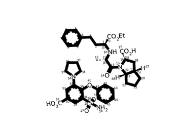 CCOC(=O)[C@H](CCc1ccccc1)N[C@@H](C)C(=O)N1[C@H](C(=O)O)C[C@@H]2CCC[C@@H]21.NS(=O)(=O)c1cc(C(=O)O)cc(N2CCCC2)c1Oc1ccccc1